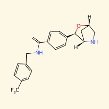 C=C(NCc1ccc(C(F)(F)F)cc1)c1ccc([C@H]2O[C@@H]3CN[C@H]2C3)cc1